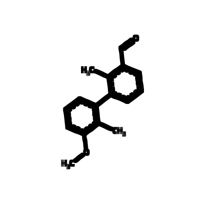 COc1cccc(-c2cccc(C=O)c2C)c1C